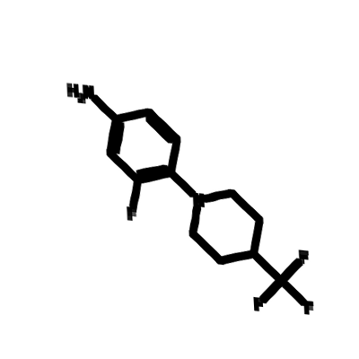 Nc1ccc(N2CCC(C(F)(F)F)CC2)c(F)c1